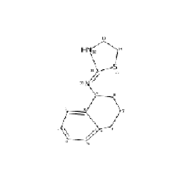 c1ccc2c(c1)CCCC2N=C1NCCS1